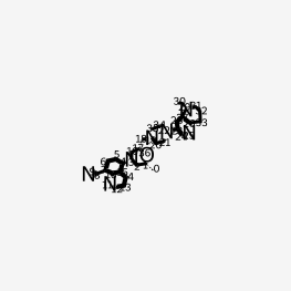 C[C@@H]1CN(c2ccc(C#N)c3ncccc23)C[C@H](CN2CCN(c3cnc4c(c3)N(C)CCC4)CC2)O1